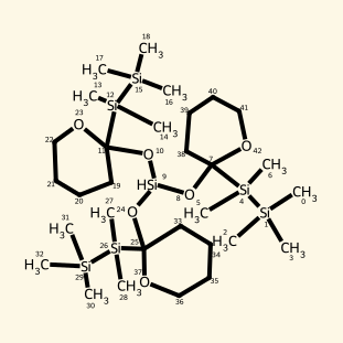 C[Si](C)(C)[Si](C)(C)C1(O[SiH](OC2([Si](C)(C)[Si](C)(C)C)CCCCO2)OC2([Si](C)(C)[Si](C)(C)C)CCCCO2)CCCCO1